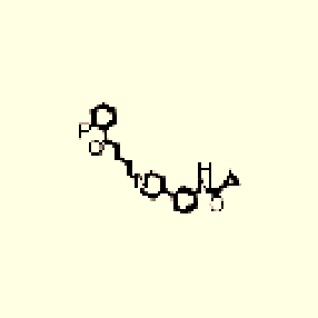 O=C(CCCCN1CCC(c2cccc(NC(=O)C3CC3)c2)CC1)c1ccccc1F